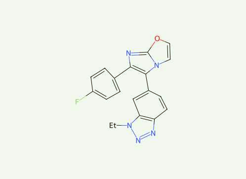 CCn1nnc2ccc(-c3c(-c4ccc(F)cc4)nc4occn34)cc21